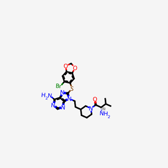 CC(C)[C@H](N)C(=O)N1CCCC(CCn2c(Sc3cc4c(cc3Br)OCO4)nc3c(N)ncnc32)C1